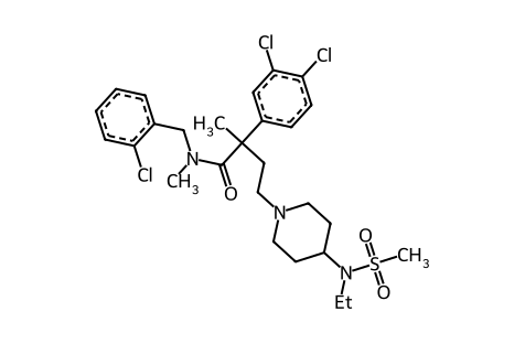 CCN(C1CCN(CCC(C)(C(=O)N(C)Cc2ccccc2Cl)c2ccc(Cl)c(Cl)c2)CC1)S(C)(=O)=O